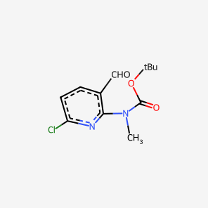 CN(C(=O)OC(C)(C)C)c1nc(Cl)ccc1C=O